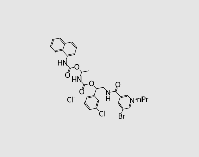 CCC[n+]1cc(Br)cc(C(=O)NCC(OC(=O)NC(C)OC(=O)Nc2cccc3ccccc23)c2cccc(Cl)c2)c1.[Cl-]